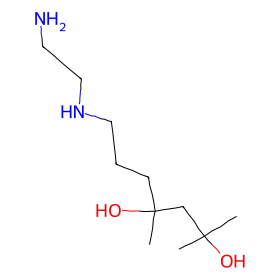 CC(C)(O)CC(C)(O)CCCNCCN